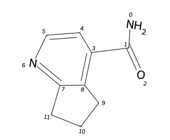 NC(=O)c1ccnc2c1CCC2